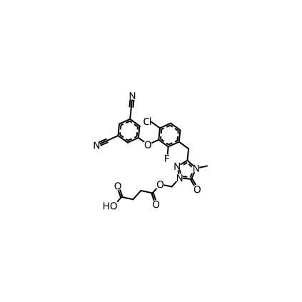 Cn1c(Cc2ccc(Cl)c(Oc3cc(C#N)cc(C#N)c3)c2F)nn(COC(=O)CCC(=O)O)c1=O